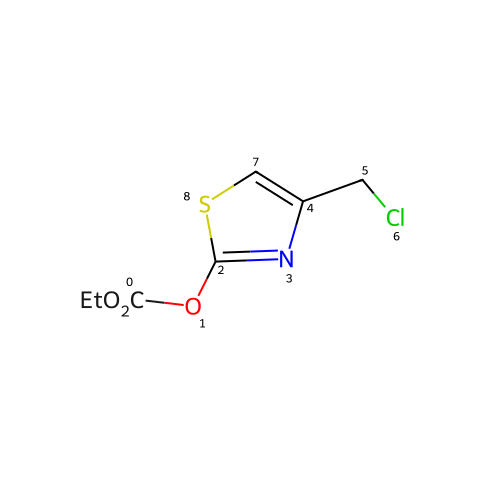 CCOC(=O)Oc1nc(CCl)cs1